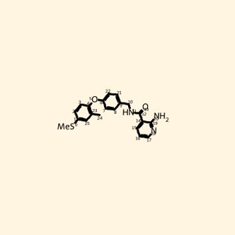 CSc1ccc(Oc2ccc(CNC(=O)c3cccnc3N)cc2)c(C)c1